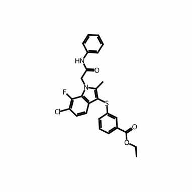 CCOC(=O)c1cccc(Sc2c(C)n(CC(=O)Nc3ccccc3)c3c(F)c(Cl)ccc23)c1